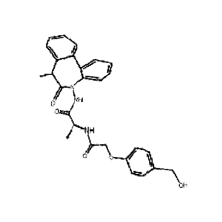 CC1C(=O)N(NC(=O)[C@H](C)NC(=O)COc2ccc(CO)cc2)c2ccccc2-c2ccccc21